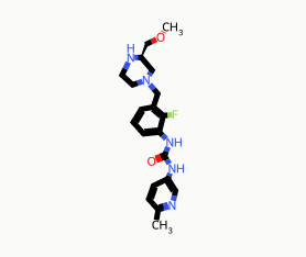 COC[C@H]1CN(Cc2cccc(NC(=O)Nc3ccc(C)nc3)c2F)CCN1